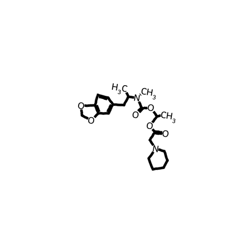 CC(OC(=O)CN1CCCCC1)OC(=O)N(C)C(C)Cc1ccc2c(c1)OCO2